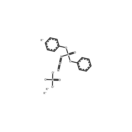 O=P([O-])([O-])[O-].[K+].[K+].[K+].[N-]=[N+]=NP(=O)(Oc1ccccc1)Oc1ccccc1